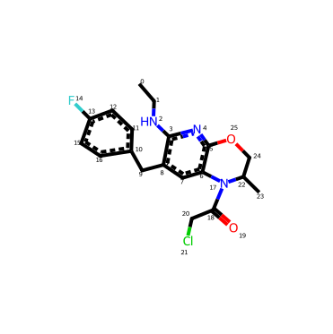 CCNc1nc2c(cc1Cc1ccc(F)cc1)N(C(=O)CCl)C(C)CO2